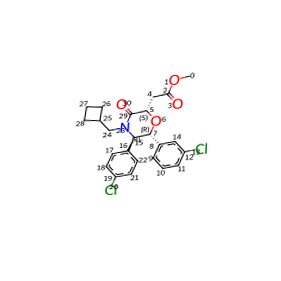 COC(=O)C[C@@H]1O[C@H](c2cccc(Cl)c2)[C@@H](c2ccc(Cl)cc2)N(CC2CCC2)C1=O